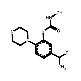 CNC(=O)Nc1cc(C(C)C)ccc1N1CCNCC1